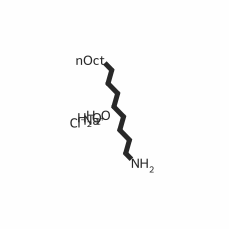 CCCCCCCCCCCCCCCCN.O.O.[Cl-].[Na+]